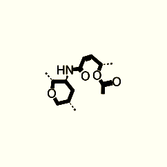 CC(=O)O[C@@H](C)/C=C\C(=O)N[C@@H]1C[C@H](C)CO[C@@H]1C